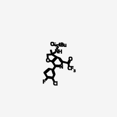 CC1(N[S+]([O-])C(C)(C)C)COc2c1cc(C(=O)C(F)(F)F)nc2-c1ccc(F)c(Cl)c1